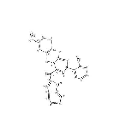 CC1=CC(c2ccccc2Cl)N=C(Nc2nc3ccccc3o2)N1Cc1cccc(CO)c1